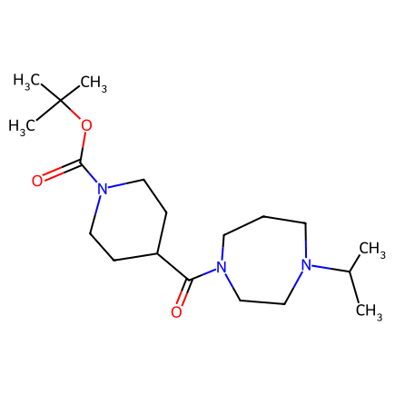 CC(C)N1CCCN(C(=O)C2CCN(C(=O)OC(C)(C)C)CC2)CC1